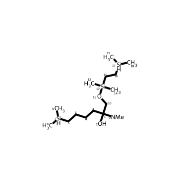 CNC(O)(CCCC[SiH](C)C)CO[Si](C)(C)CC[SiH](C)C